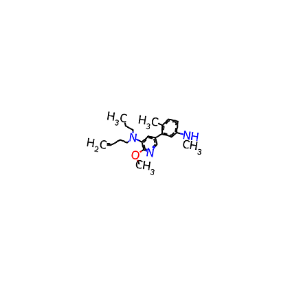 C=CCCN(CCC)c1cc(-c2cc(NC)ccc2C)cnc1OC